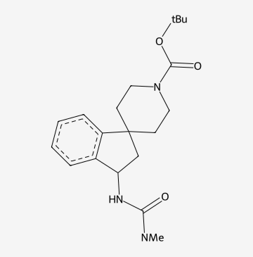 CNC(=O)NC1CC2(CCN(C(=O)OC(C)(C)C)CC2)c2ccccc21